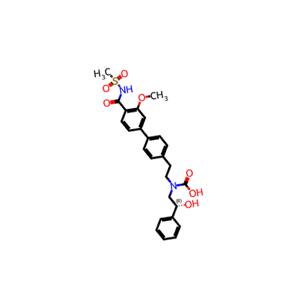 COc1cc(-c2ccc(CCN(C[C@H](O)c3ccccc3)C(=O)O)cc2)ccc1C(=O)NS(C)(=O)=O